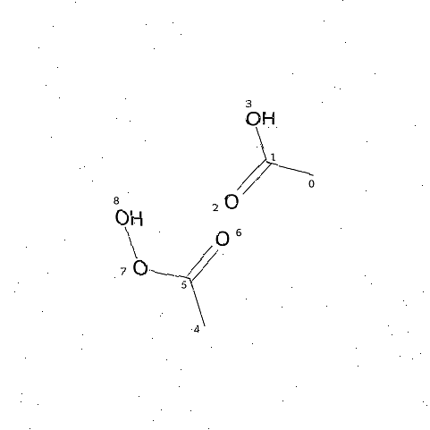 CC(=O)O.CC(=O)OO